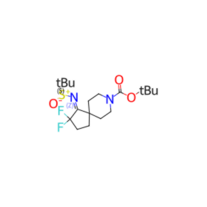 CC(C)(C)OC(=O)N1CCC2(CC1)CCC(F)(F)/C2=N\[S@+]([O-])C(C)(C)C